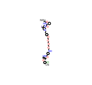 CN[C@@H](C)C(=O)N[C@H](C(=O)N1CCC2(CI)CCN(CCc3ccc(OCCOCCOCCOCCNc4ccc(C(=O)NC5C(C)(C)C(Oc6ccc(C#N)c(Cl)c6)C5(C)C)cc4)cc3)CC12)C1CCCCC1